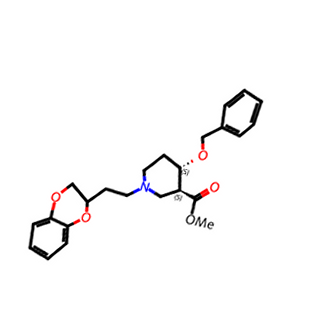 COC(=O)[C@H]1CN(CCC2COc3ccccc3O2)CC[C@@H]1OCc1ccccc1